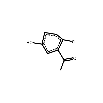 CC(=O)c1cc(O)ccc1Cl